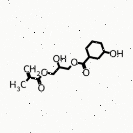 C=C(C)C(=O)OCC(O)COC(=O)C1CCCC(O)C1